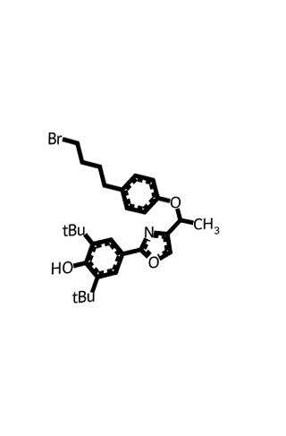 CC(Oc1ccc(CCCCBr)cc1)c1coc(-c2cc(C(C)(C)C)c(O)c(C(C)(C)C)c2)n1